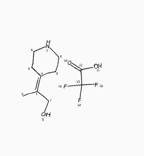 CC(CO)=C1CCNCC1.O=C(O)C(F)(F)F